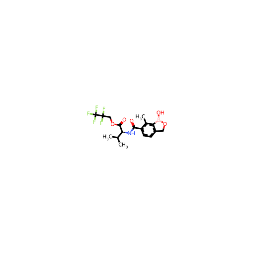 Cc1c(C(=O)N[C@H](C(=O)OCC(F)(F)C(F)(F)F)C(C)C)ccc2c1B(O)OC2